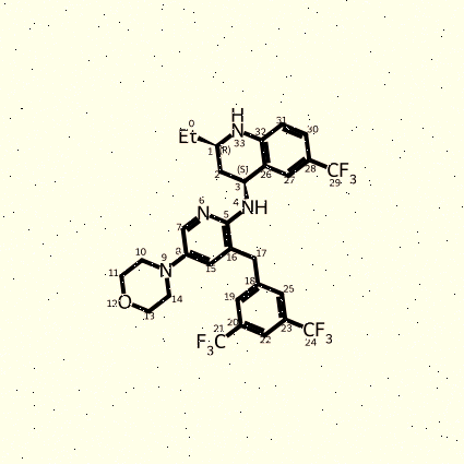 CC[C@@H]1C[C@H](Nc2ncc(N3CCOCC3)cc2Cc2cc(C(F)(F)F)cc(C(F)(F)F)c2)c2cc(C(F)(F)F)ccc2N1